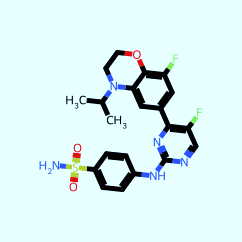 CC(C)N1CCOc2c(F)cc(-c3nc(Nc4ccc(S(N)(=O)=O)cc4)ncc3F)cc21